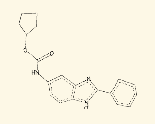 O=C(Nc1ccc2[nH]c(-c3ccccc3)nc2c1)OC1CCCC1